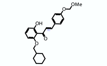 COCOc1ccc(/C=C/C(=O)c2c(O)cccc2OCC2CCCCC2)cc1